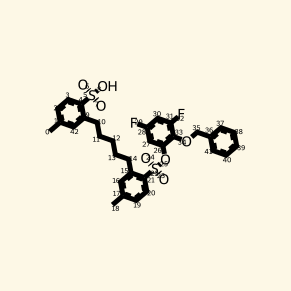 Cc1ccc(S(=O)(=O)O)c(CCCCCc2cc(C)ccc2S(=O)(=O)Oc2cc(F)cc(F)c2OCc2ccccc2)c1